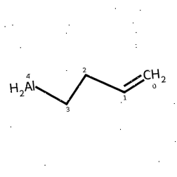 C=CC[CH2][AlH2]